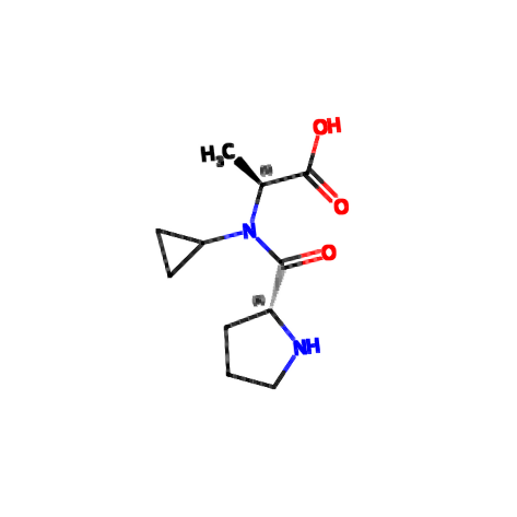 C[C@@H](C(=O)O)N(C(=O)[C@H]1CCCN1)C1CC1